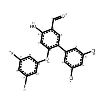 O=Cc1cc(-c2cc(Cl)cc(Cl)c2)c(Oc2cc(F)cc(F)c2)cc1O